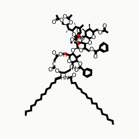 CCCCCCCCCCCCC/C=C/[C@H]1OC(=O)CCC(=O)OC[C@@H]2O[C@@H](OC[C@@H]1NC(=O)CCCCCCCCCCCCCCCCC)C(OC(=O)c1ccccc1)C(C)[C@@H]2O[C@@H]1OC(COC(=O)c2ccccc2)[C@H](O[C@@H]2OC(COC(C)=O)[C@H](C)[C@H](C)C2NC(C)=O)[C@H](O[C@]2(C(=O)OC)CC(C)[C@@H](C)[C@H]([C@H](C)[C@@H](COC(C)=O)OC(C)=O)O2)C1C